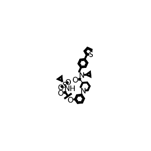 CC(C)(Oc1cccc(N2CCC[C@H](C(=O)N(Cc3ccc(-c4cccs4)cc3)C3CC3)C2)c1)C(=O)NS(=O)(=O)C1CC1